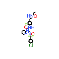 CCC(=O)NCCc1ccc(NC(=O)N(CNC(=O)C(F)(F)c2ccc(Cl)cc2)C2CCCCC2)c(F)c1